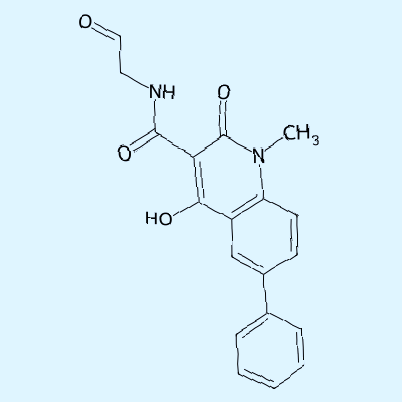 Cn1c(=O)c(C(=O)NCC=O)c(O)c2cc(-c3ccccc3)ccc21